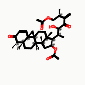 C=C(C(=O)[C@H](O)[C@@H](C)[C@H]1[C@@H](OC(C)=O)C[C@@]2(C)[C@@H]3CC[C@H]4[C@H](C)C(=O)C=C[C@@]45C[C@@]35CC[C@]12C)[C@@H](C)COC(C)=O